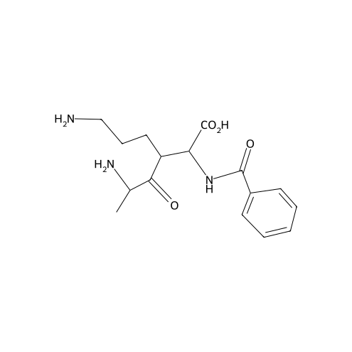 CC(N)C(=O)C(CCCN)C(NC(=O)c1ccccc1)C(=O)O